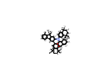 CC1(C)CCC(C)(C)c2cc(-c3cc4c(cc3N(c3ccc5c(c3)C(C)(C)CCC5(C)C)c3cccc5ccccc35)C(C)(C)c3ccccc3-4)ccc21